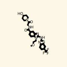 COCCn1c(Nc2nc3ccc(C(F)(F)F)cc3s2)nc2cc(C(=O)NCC(=O)N3CCC(O)CC3)ccc21